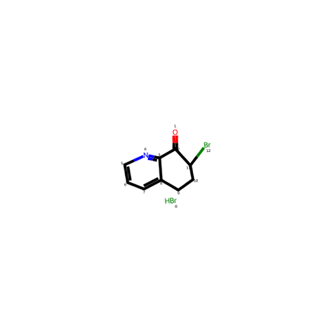 Br.O=C1c2ncccc2CCC1Br